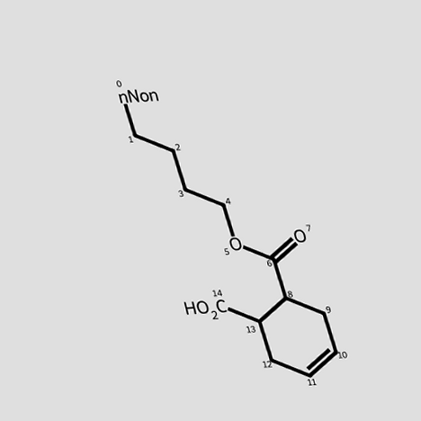 CCCCCCCCCCCCCOC(=O)C1CC=CCC1C(=O)O